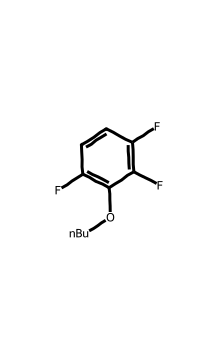 CCCCOc1c(F)ccc(F)c1F